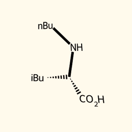 CCCCN[C@H](C(=O)O)[C@@H](C)CC